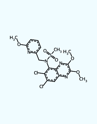 COc1cccc(CN(c2c(Cl)c(Cl)cc3nc(OC)c(OC)nc23)S(C)(=O)=O)n1